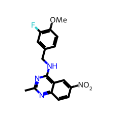 COc1ccc(CNc2nc(C)nc3ccc([N+](=O)[O-])cc23)cc1F